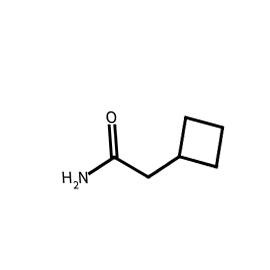 NC(=O)CC1CCC1